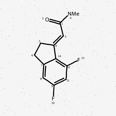 CNC(=O)C=C1CCc2cc(F)cc(F)c21